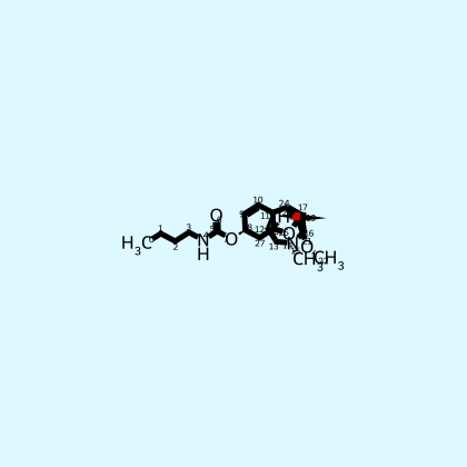 CCCCNC(=O)O[C@@H]1C=C[C@]23CCN(C)Cc4ccc(OC)c(c42)O[C@@H]3C1